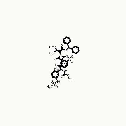 CO/C(C)=C(\C(=O)OC(c1ccccc1)c1ccccc1)N1C(=O)C(NC(=O)C(NC(=O)OC(C)(C)C)c2cccc(NS(C)(=O)=O)c2)C1SS(=O)(=O)c1ccc(C)cc1